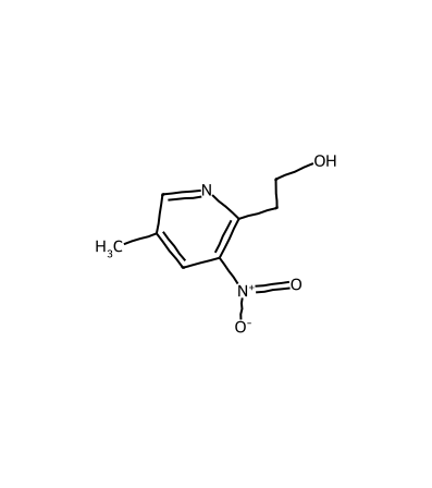 Cc1cnc(CCO)c([N+](=O)[O-])c1